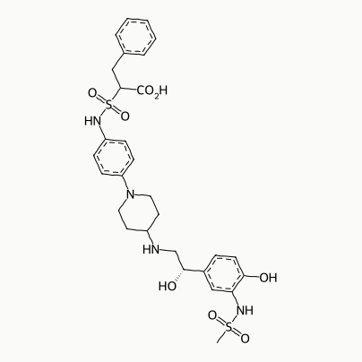 CS(=O)(=O)Nc1cc([C@H](O)CNC2CCN(c3ccc(NS(=O)(=O)C(Cc4ccccc4)C(=O)O)cc3)CC2)ccc1O